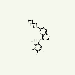 Fc1c(Nc2ncnc3ccc(C4CC5(CCN5)C4)nc23)ccc(Cl)c1Cl